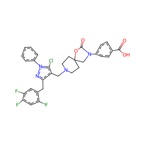 O=C(O)c1ccc(N2CC3(CCN(Cc4c(Cc5cc(F)c(F)cc5F)nn(-c5ccccc5)c4Cl)CC3)OC2=O)cc1